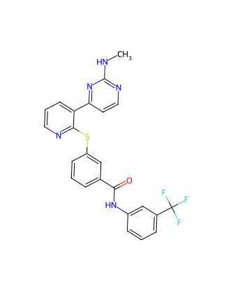 CNc1nccc(-c2cccnc2Sc2cccc(C(=O)Nc3cccc(C(F)(F)F)c3)c2)n1